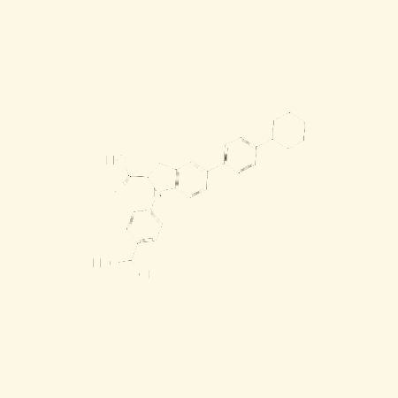 CC(C)c1ccc(N2c3ccc(-c4ccc(C5CCCCC5)cc4)cc3CC2C(=O)O)cc1